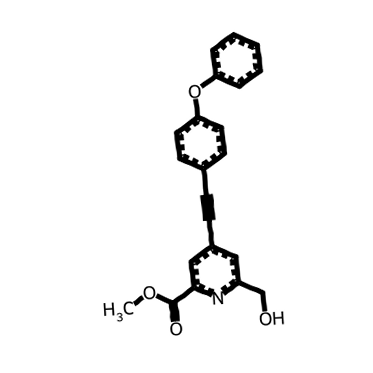 COC(=O)c1cc(C#Cc2ccc(Oc3ccccc3)cc2)cc(CO)n1